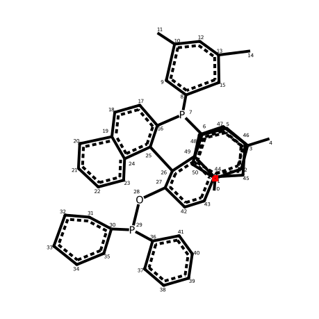 Cc1cc(C)cc(P(c2cc(C)cc(C)c2)c2ccc3ccccc3c2-c2c(OP(c3ccccc3)c3ccccc3)ccc3ccccc23)c1